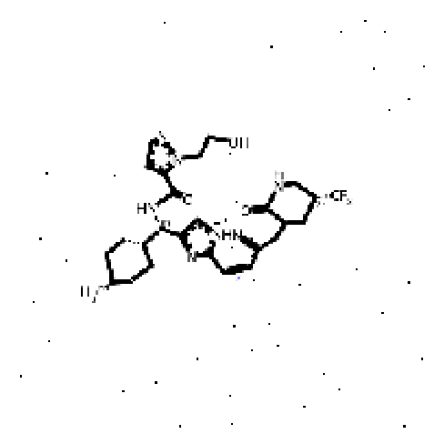 C[C@H]1CC[C@H]([C@H](NC(=O)c2ccnn2CCO)c2c[nH]c(/C=C\C(=N)CC3C[C@@H](C(F)(F)F)CNC3=O)n2)CC1